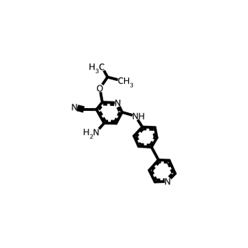 CC(C)Oc1nc(Nc2ccc(-c3ccncc3)cc2)cc(N)c1C#N